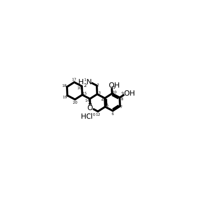 Cl.NCC1c2c(ccc(O)c2O)COC1C1CCCCC1